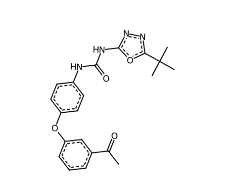 CC(=O)c1cccc(Oc2ccc(NC(=O)Nc3nnc(C(C)(C)C)o3)cc2)c1